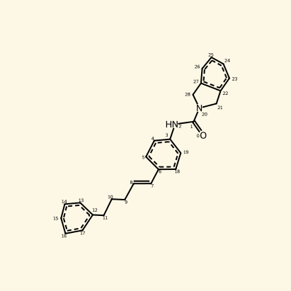 O=C(Nc1ccc(C=CCCCc2ccccc2)cc1)N1Cc2ccccc2C1